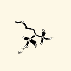 COCCN(S(=O)(=O)[O-])S(=O)(=O)[O-].[Na+].[Na+]